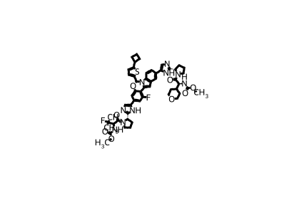 COC(=O)NC(C(=O)N1CCC[C@H]1c1ncc(-c2cc(F)c3c(c2)OC(c2ccc(C4CCC4)s2)n2c-3cc3cc(-c4cnc([C@@H]5CCCN5C(=O)[C@@H](NC(=O)OC)C5CCOCC5)[nH]4)ccc32)[nH]1)C(C)(C)F